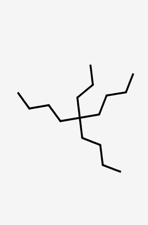 CCCCC(CCC)(CCCC)CCCC